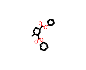 Cc1ccc(C(=O)Oc2ccccc2)cc1C(=O)Oc1ccccc1